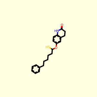 O=C1CCc2cc(OC(S)CCCCCc3ccccc3)ccc2N1